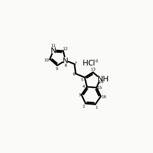 Cl.c1ccc2c(CCn3ccnc3)c[nH]c2c1